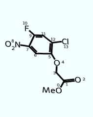 COC(=O)COc1cc([N+](=O)[O-])c(F)cc1Cl